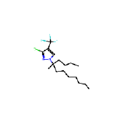 CCCCCCCC(C)(CCCC)n1cc(C(F)(F)F)c(Cl)n1